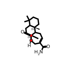 CC1(C)CCC[C@@]2(C)C1CC[C@@]13C(=O)O[C@@H]1CC(C(N)=O)=CCC23